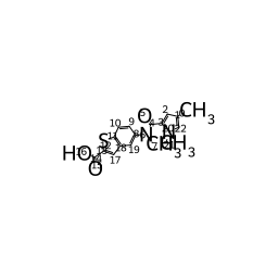 Cc1cc(C(=O)N(C)c2ccc3sc(C(=O)O)cc3c2)n(C)c1